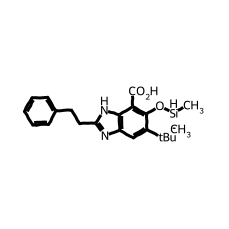 C[SiH](C)Oc1c(C(C)(C)C)cc2nc(CCc3ccccc3)[nH]c2c1C(=O)O